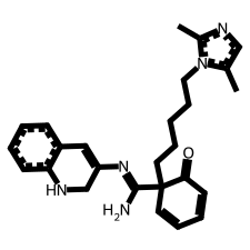 Cc1cnc(C)n1CCCCCC1(C(N)=NC2=Cc3ccccc3NC2)C=CC=CC1=O